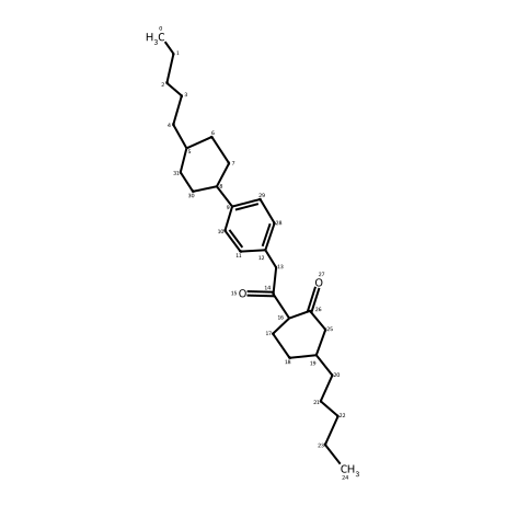 CCCCCC1CCC(c2ccc(CC(=O)C3CCC(CCCCC)CC3=O)cc2)CC1